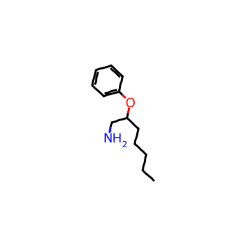 CCCCCC(CN)Oc1ccccc1